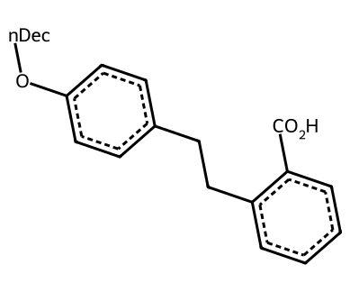 CCCCCCCCCCOc1ccc(CCc2ccccc2C(=O)O)cc1